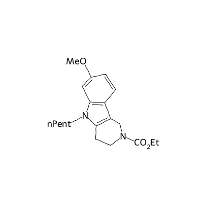 CCCCCn1c2c(c3ccc(OC)cc31)CN(C(=O)OCC)CC2